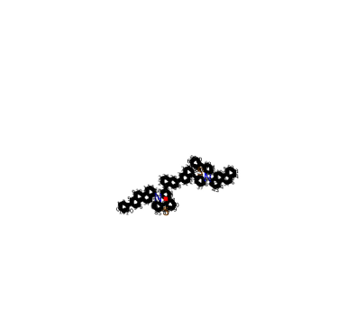 c1ccc(-c2ccc3c(ccc4c5cccc(N(c6cccc(-c7cccc8cc(-c9ccc%10c(-c%11cccc(N(c%12cccc%13c%12ccc%12c%14ccccc%14ccc%13%12)c%12cccc%13c%12sc%12ccccc%12%13)c%11)cccc%10c9)ccc78)c6)c6cccc7sc8ccccc8c67)c5ccc34)c2)cc1